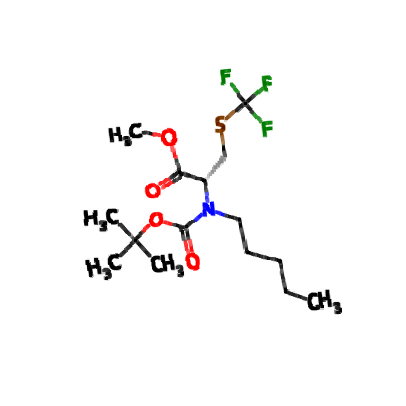 CCCCCN(C(=O)OC(C)(C)C)[C@@H](CSC(F)(F)F)C(=O)OC